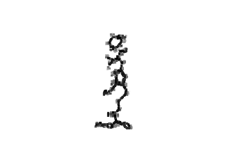 COC(=O)NCCCc1cc(CN(C(=O)[C@H]2CNCCO2)C2CC2)sc1C(C)=O